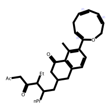 CCCC(CC1CC(=O)c2c(ccc(/C3=C/C/C=C\C=C/CO3)c2C)C1)C(CC)C(=O)CC(C)=O